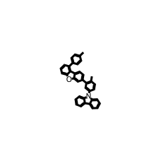 Cc1ccc(-c2cccc3oc4cc(-c5cc(-n6c7ccccc7c7ccccc76)ccc5C)ccc4c23)cc1